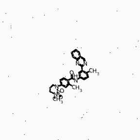 Cc1cc(N2CCCN(C)S2(=O)=O)ccc1C(=O)Nc1ccc(C)c(-c2ncc3ccccc3n2)c1